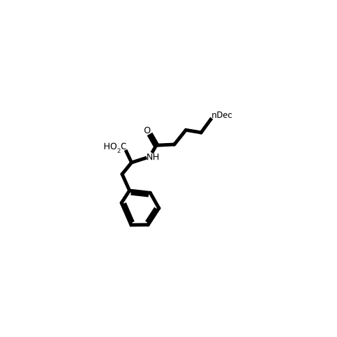 CCCCCCCCCCCCCC(=O)NC(Cc1ccccc1)C(=O)O